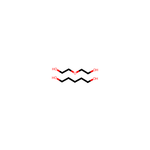 OCCCCCO.OCCOCCO